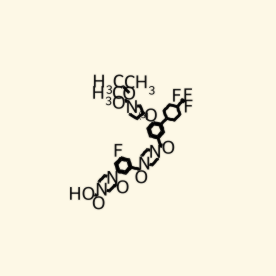 CC(C)(C)OC(=O)N1CC[C@H](Oc2ccc(C(=O)N3CCN(C(=O)c4cc(F)cc(N5CCN(C(=O)O)CC5=O)c4)CC3)cc2C2CCC(C(F)(F)F)CC2)C1